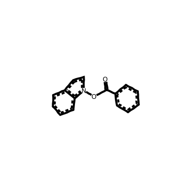 O=C(On1ccc2ccccc21)c1ccccc1